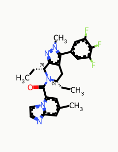 CC[C@H]1Cc2c(nn(C)c2-c2cc(F)c(F)c(F)c2)[C@@H](CC)N1C(=O)c1cc(C)cc2nccn12